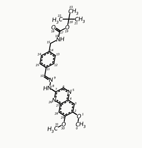 COc1cc2ncc(NN=Cc3ccc(CNC(=O)OC(C)(C)C)cc3)nc2cc1OC